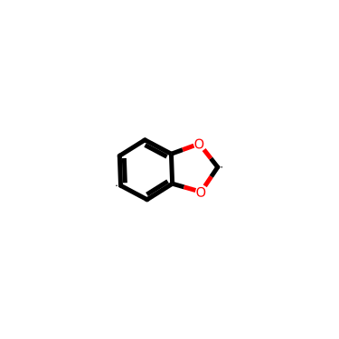 [c]1ccc2c(c1)O[CH]O2